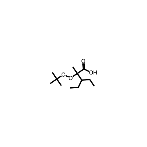 CCC(CC)C(C)(OOC(C)(C)C)C(=O)O